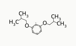 CC(C)COc1[c]c(OCC(C)C)ccc1